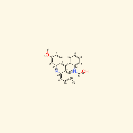 COc1ccc2cc3c(N(CO)c4ccccc4)c(C)ccc3nc2c1